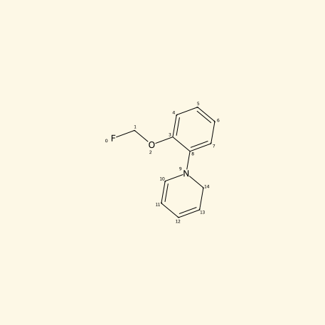 FCOc1ccccc1N1C=CC=CC1